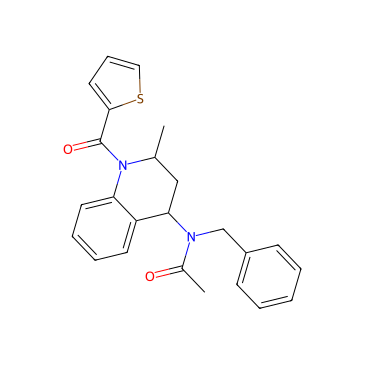 CC(=O)N(Cc1ccccc1)C1CC(C)N(C(=O)c2cccs2)c2ccccc21